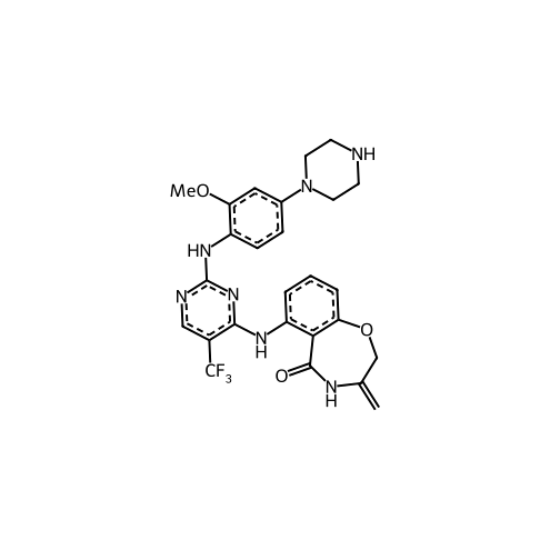 C=C1COc2cccc(Nc3nc(Nc4ccc(N5CCNCC5)cc4OC)ncc3C(F)(F)F)c2C(=O)N1